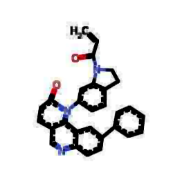 C=CC(=O)N1CCc2ccc(-n3c(=O)ccc4cnc5ccc(-c6ccccc6)cc5c43)cc21